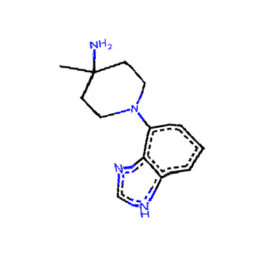 CC1(N)CCN(c2cccc3[nH]cnc23)CC1